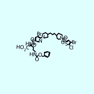 O=C(NCCCC(NS(=O)(=O)c1cnc(N2CCC(CCCC3CCN(S(=O)(=O)c4cc(Br)c(Cl)s4)CC3)CC2)c(Br)c1)C(=O)O)OCc1ccccc1